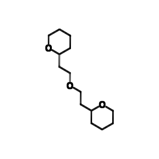 C1CCC(CCOCCC2CCCCO2)OC1